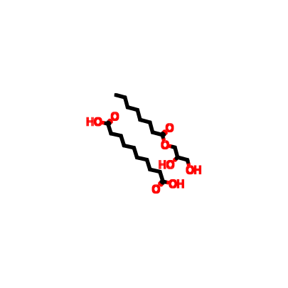 CCCCCCCC(=O)OCC(O)CO.O=C(O)CCCCCCCCC(=O)O